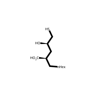 CCCCCCC[C@H](C[C@@H](O)CS)C(=O)O